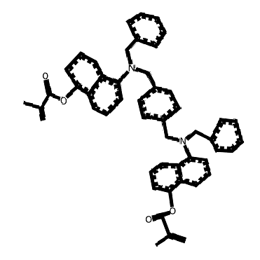 C=C(C)C(=O)Oc1cccc2c(N(Cc3ccccc3)Cc3ccc(CN(Cc4ccccc4)c4cccc5c(OC(=O)C(=C)C)cccc45)cc3)cccc12